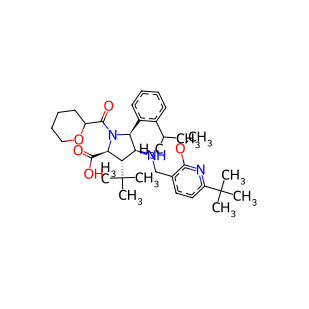 COc1nc(C(C)(C)C)ccc1CN[C@H]1[C@H](C(C)(C)C)[C@@H](C(=O)O)N(C(=O)C2CCCCO2)[C@H]1c1ccccc1C(C)C